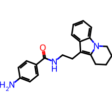 Nc1ccc(C(=O)NCCc2c3n(c4ccccc24)CCCC3)cc1